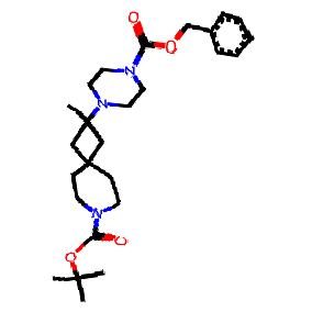 CC(C)(C)OC(=O)N1CCC2(CC1)CC(C)(N1CCN(C(=O)OCc3ccccc3)CC1)C2